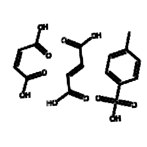 Cc1ccc(S(=O)(=O)O)cc1.O=C(O)/C=C/C(=O)O.O=C(O)/C=C\C(=O)O